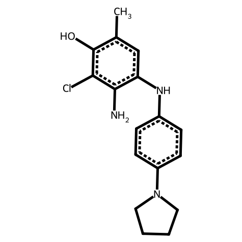 Cc1cc(Nc2ccc(N3CCCC3)cc2)c(N)c(Cl)c1O